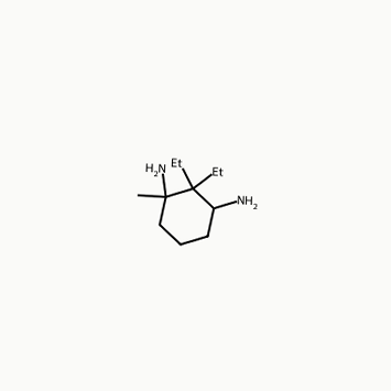 CCC1(CC)C(N)CCCC1(C)N